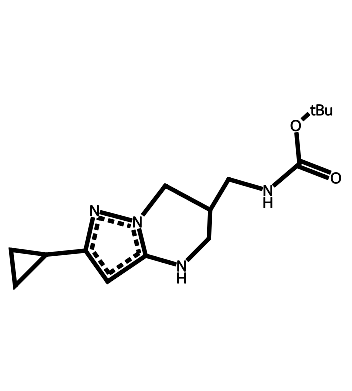 CC(C)(C)OC(=O)NCC1CNc2cc(C3CC3)nn2C1